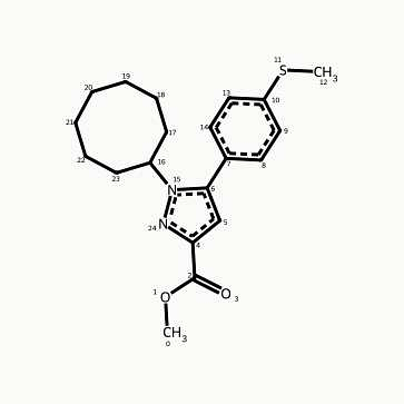 COC(=O)c1cc(-c2ccc(SC)cc2)n(C2CCCCCCC2)n1